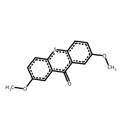 COc1ccc2sc3ccc(OC)cc3c(=O)c2c1